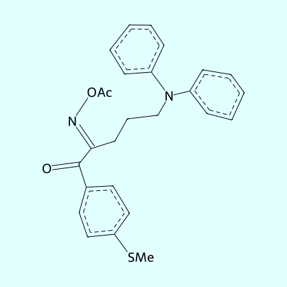 CSc1ccc(C(=O)/C(CCCN(c2ccccc2)c2ccccc2)=N/OC(C)=O)cc1